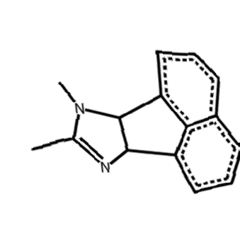 CC1=NC2c3cccc4cccc(c34)C2N1C